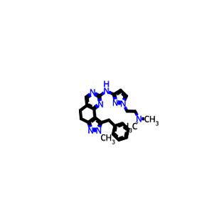 CN(C)CCn1ccc(Nc2ncc3c(n2)-c2c(nn(C)c2Cc2ccccc2)CC3)n1